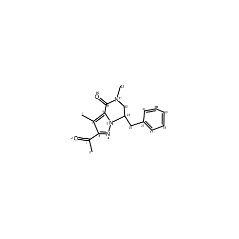 CC(=O)c1nn2c(c1C)C(=O)N(C)CC2Cc1ccccc1